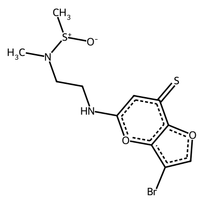 CN(CCNc1cc(=S)c2occ(Br)c2o1)[S+](C)[O-]